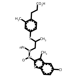 CCCN(CC(C)Sc1ccc(CCC(=O)O)c(C)c1)[S+]([O-])c1sc2ccc(Cl)cc2c1C